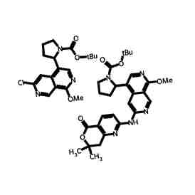 COc1ncc(C2CCCN2C(=O)OC(C)(C)C)c2cc(Cl)ncc12.COc1ncc(C2CCCN2C(=O)OC(C)(C)C)c2cc(Nc3ccc4c(n3)CC(C)(C)OC4=O)ncc12